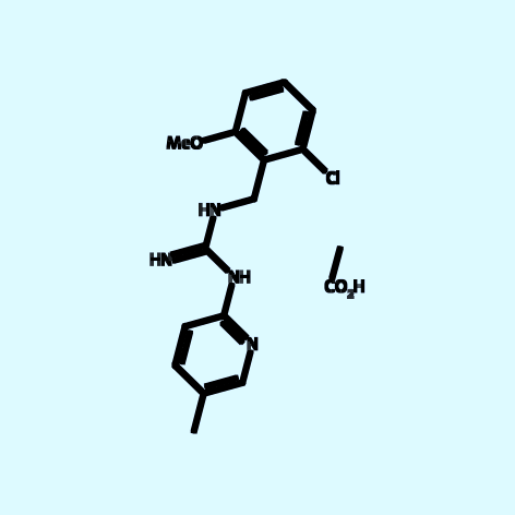 CC(=O)O.COc1cccc(Cl)c1CNC(=N)Nc1ccc(C)cn1